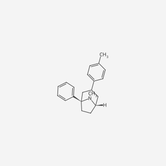 Cc1ccc(C2C[C@@H]3CC[C@](c4ccccc4)(C2)N3C)cc1